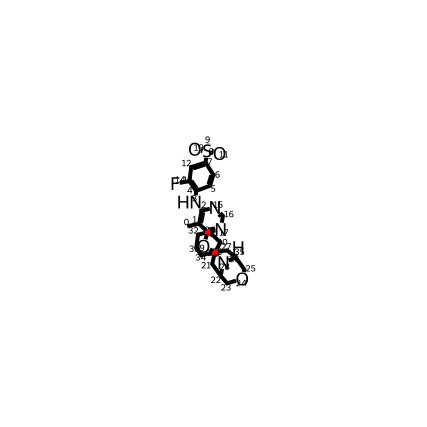 Cc1c(Nc2ccc(S(C)(=O)=O)cc2F)ncnc1OC1CC2COC[C@H](C1)N2C1CCCCC1